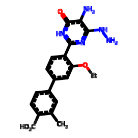 CCOc1cc(-c2ccc(C(=O)O)c(C)c2)ccc1-c1nc(NN)c(N)c(=O)[nH]1